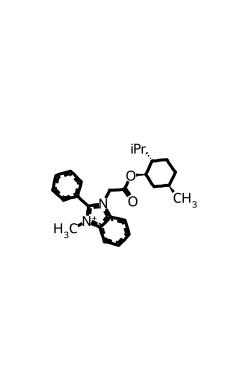 CC(C)[C@@H]1CC[C@@H](C)C[C@H]1OC(=O)Cn1c(-c2ccccc2)[n+](C)c2ccccc21